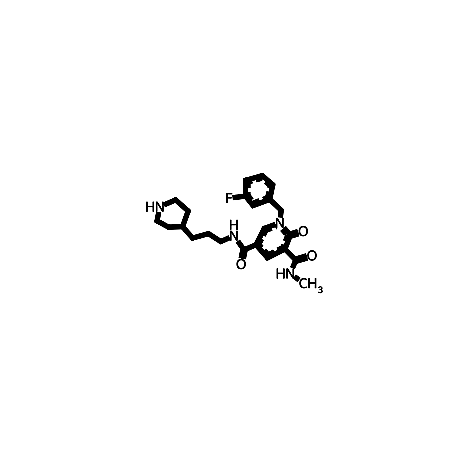 CNC(=O)c1cc(C(=O)NCCCC2CCNCC2)cn(Cc2cccc(F)c2)c1=O